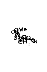 COC(=O)N1CCN(c2cn(C)c3nc(OCc4ccncc4)ccc23)C(=O)C1